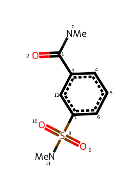 CNC(=O)c1cccc(S(=O)(=O)NC)c1